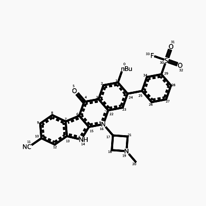 CCCCc1cc2c(=O)c3c4ccc(C#N)cc4[nH]c3n(C3CN(C)C3)c2cc1-c1cccc(S(=O)(=O)F)c1